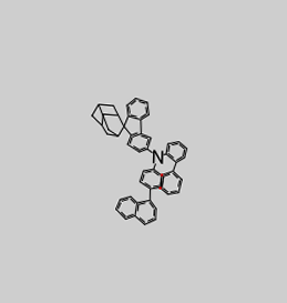 c1ccc(-c2ccccc2N(c2ccc(-c3cccc4ccccc34)cc2)c2ccc3c(c2)-c2ccccc2C32C3CC4CC(C3)CC2C4)cc1